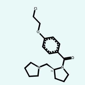 O=C(c1ccc(OCCCl)cc1)N1CCC[C@H]1CN1CCCC1